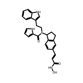 O=C(C=Cc1ccc2c(c1)CCC2N(CCc1c[nH]c2ccccc12)C(=O)c1ccc[nH]1)NO